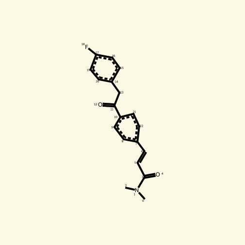 CN(C)C(=O)C=Cc1ccc(C(=O)Cc2ccc(F)cc2)cc1